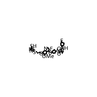 COc1cc2c(Oc3ccc(NC(=O)C4(C(=O)Nc5ccc(F)cc5)CC4)cc3F)ccnc2cc1OCCCSc1nnc(S)s1